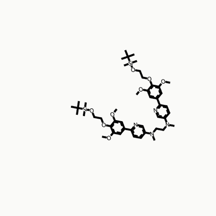 COc1cc(-c2ccc(N(C)CCN(C)c3ccc(-c4cc(OC)c(OCCO[Si](C)(C)C(C)(C)C)c(OC)c4)nc3)cn2)cc(OC)c1OCCO[Si](C)(C)C(C)(C)C